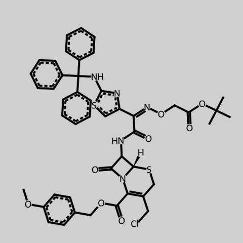 COc1ccc(COC(=O)C2=C(CCl)CS[C@H]3C(NC(=O)/C(=N\OCC(=O)OC(C)(C)C)c4csc(NC(c5ccccc5)(c5ccccc5)c5ccccc5)n4)C(=O)N23)cc1